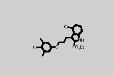 CCOC(=O)c1[nH]c2cccc(Cl)c2c1CCCOc1cc(C)c(Cl)c(C)c1